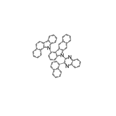 c1ccc2cc3c(cc2c1)c1c(-n2c4ccccc4c4ccc5ccccc5c42)cccc1n3-c1nc2ccccc2nc1-c1cccc2ccccc12